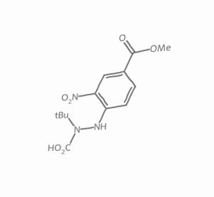 COC(=O)c1ccc(NN(C(=O)O)C(C)(C)C)c([N+](=O)[O-])c1